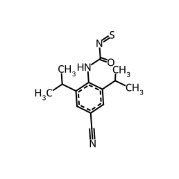 CC(C)c1cc(C#N)cc(C(C)C)c1NC(=O)N=S